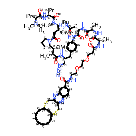 CC[C@H](C)[C@@H]([C@@H](CC(=O)N1CCC[C@H]1[C@H](OC)[C@@H](C)C(=O)N[C@H](CN=[N+]=[N-])Cc1ccc(NC(=O)[C@H](CC(N)=O)NC(=O)[C@H](C)NC(=O)[C@H](C)NC(=O)CCOCCOCCNC(=O)c2ccc3nc4c(nc3c2)CSc2cccccccc(c2)SC4)cc1)OC)N(C)C(=O)[C@@H](NC(=O)[C@H](C(C)C)N(C)C)C(C)C